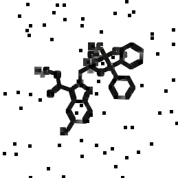 COC(=O)c1c2cc(Br)ccc2nn1C[C@H](C)O[Si](c1ccccc1)(c1ccccc1)C(C)(C)C